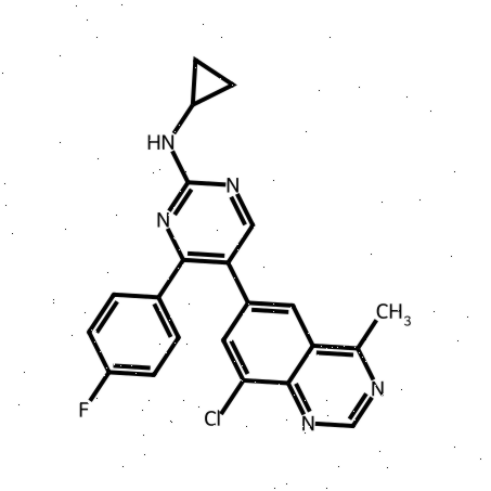 Cc1ncnc2c(Cl)cc(-c3cnc(NC4CC4)nc3-c3ccc(F)cc3)cc12